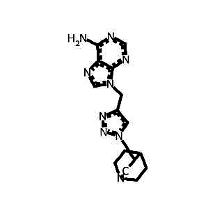 Nc1ncnc2c1ncn2Cc1cn(C2CN3CCC2CC3)nn1